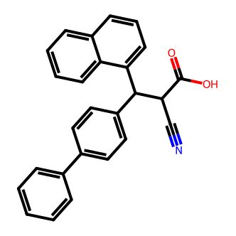 N#CC(C(=O)O)C(c1ccc(-c2ccccc2)cc1)c1cccc2ccccc12